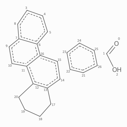 O=CO.c1ccc2c(c1)ccc1c3c(ccc12)CCCC3.c1ccccc1